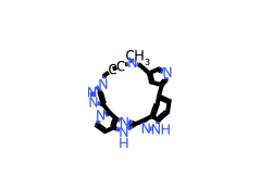 CN1CCCn2cc(nn2)-c2nccc3[nH]c(nc23)-c2n[nH]c3ccc(cc23)-c2cncc(c2)C1